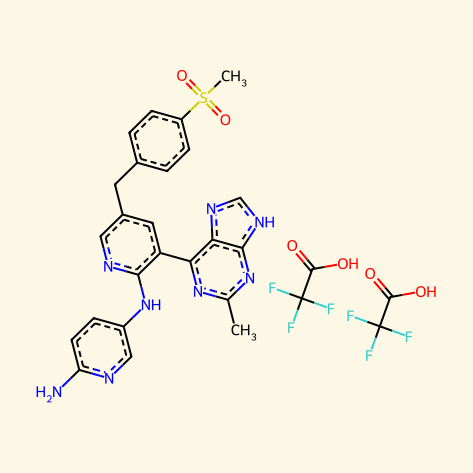 Cc1nc(-c2cc(Cc3ccc(S(C)(=O)=O)cc3)cnc2Nc2ccc(N)nc2)c2nc[nH]c2n1.O=C(O)C(F)(F)F.O=C(O)C(F)(F)F